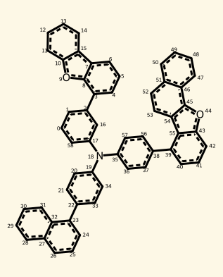 c1cc(-c2cccc3c2oc2ccccc23)cc(N(c2ccc(-c3cccc4ccccc34)cc2)c2ccc(-c3cccc4oc5c6ccccc6ccc5c34)cc2)c1